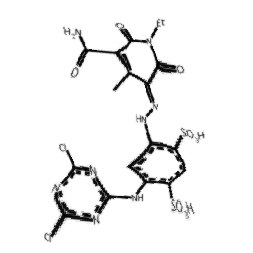 CCN1C(=O)C(=NNc2cc(Nc3nc(Cl)nc(Cl)n3)c(S(=O)(=O)O)cc2S(=O)(=O)O)C(C)=C(C(N)=O)C1=O